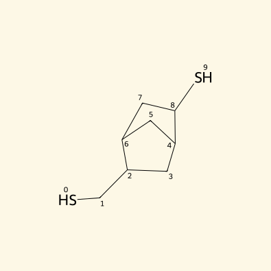 SCC1CC2CC1CC2S